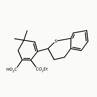 CCOC(=O)C1=C(C(=O)O)CC(C)(C)C=C1C1CCc2ccccc2S1